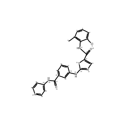 Cc1cccc(Cl)c1NC(=O)c1cnc(Nc2cccc(C(=O)Nc3ccncc3)c2)s1